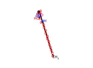 COCCOCCOCCOCCOCCOCCOCCOCCOCCOCCOCCOCCC(=O)NCCCCC(NC(=O)O)C(=O)NOC1C(=O)CCC1=O